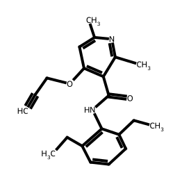 C#CCOc1cc(C)nc(C)c1C(=O)Nc1c(CC)cccc1CC